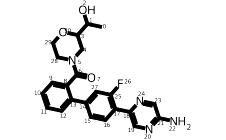 CC(O)C1CN(C(=O)c2ccccc2-c2ccc(-c3cnc(N)cn3)c(F)c2)CCO1